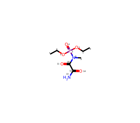 CCOP(=O)(OCC)N(C)C(=O)C(N)=O